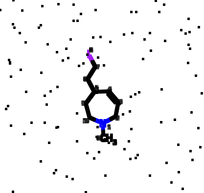 CN1CC=CC(CCI)CC1